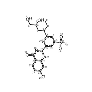 CCC(CC(O)CO)c1cc(S(C)(=O)=O)cc(-c2nc(=O)c3ccc(Cl)cc3s2)n1